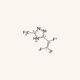 FC(F)=C(F)c1nnc(C(F)(F)F)[nH]1